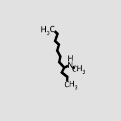 CCCCCCCC(CCC)NC